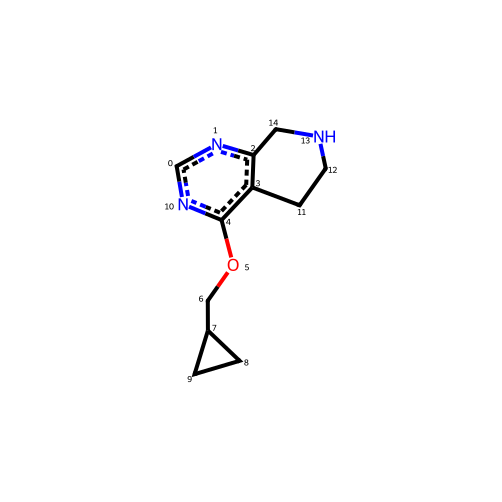 c1nc2c(c(OCC3CC3)n1)CCNC2